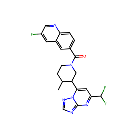 CC1CCN(C(=O)c2ccc3ncc(F)cc3c2)CC1c1cc(C(F)F)nc2ncnn12